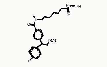 COCC(c1ccc(F)cc1)c1ccc(C(=O)N(C)CCCCCCC(=O)NO)cc1